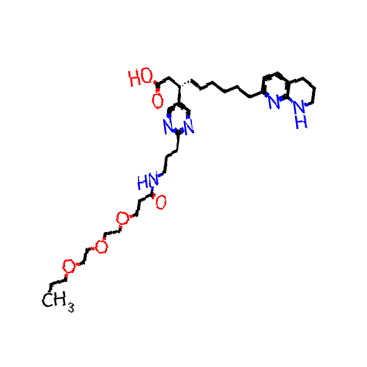 CCCOCCOCCOCCC(=O)NCCCc1ncc([C@@H](CCCCCCc2ccc3c(n2)NCCC3)CC(=O)O)cn1